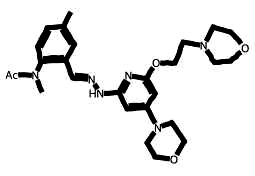 CC(=O)N(C)c1ccc(C)cc1C=NNc1cc(N2CCOCC2)cc(OCCN2CCOCC2)n1